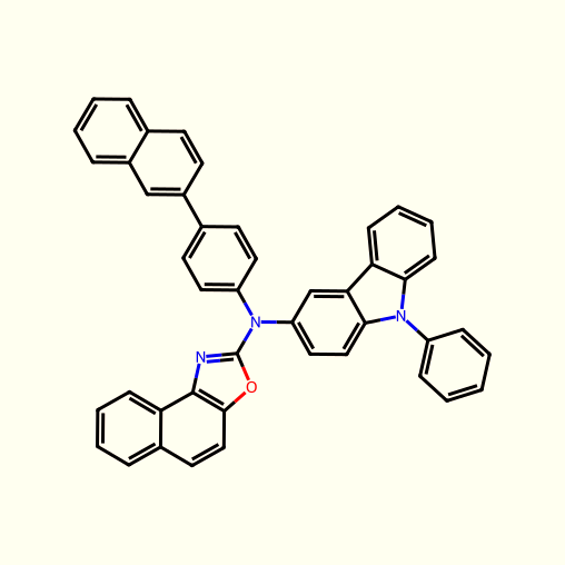 c1ccc(-n2c3ccccc3c3cc(N(c4ccc(-c5ccc6ccccc6c5)cc4)c4nc5c(ccc6ccccc65)o4)ccc32)cc1